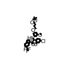 COc1cc(NC(C(=O)n2ccc3ccc(C(F)(F)F)cc32)c2ccc(Cl)cc2OC)cc(OCCCC(=O)OC(C)(C)C)c1